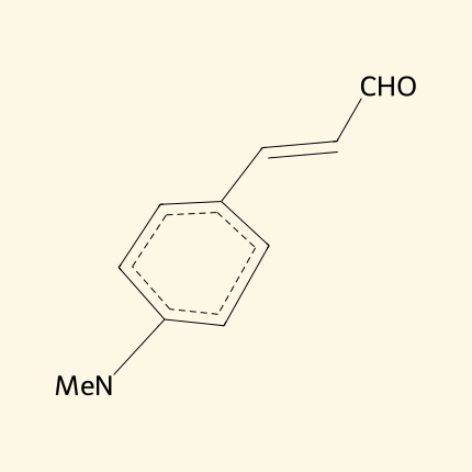 CNc1ccc(C=CC=O)cc1